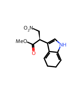 COC(=O)[C@@H](C[N+](=O)[O-])c1c[nH]c2c1=CCCC=2